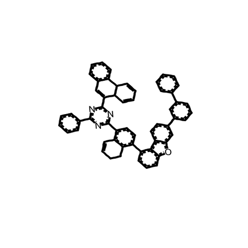 C1=CC2C(c3nc(-c4ccccc4)nc(-c4ccc(-c5cccc6oc7cc(-c8cccc(-c9ccccc9)c8)ccc7c56)c5c4C=CCC5)n3)=Cc3ccccc3C2C=C1